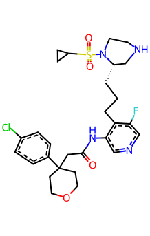 O=C(CC1(c2ccc(Cl)cc2)CCOCC1)Nc1cncc(F)c1CCC[C@H]1CNCCN1S(=O)(=O)C1CC1